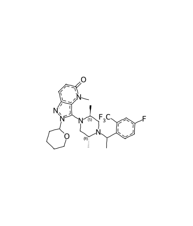 CC(c1ccc(F)cc1C(F)(F)F)N1C[C@H](C)N(c2c3c(ccc(=O)n3C)nn2C2CCCCO2)C[C@H]1C